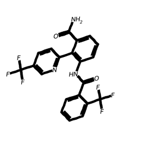 NC(=O)c1cccc(NC(=O)c2ccccc2C(F)(F)F)c1-c1ccc(C(F)(F)F)cn1